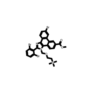 COC(=O)c1ccc2c(c1)c1cc(Br)ccc1c1nc(-c3c(Br)cccc3Br)n(COCC[Si](C)(C)C)c21